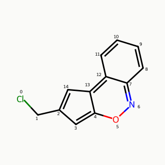 ClCc1cc2onc3ccccc3c-2c1